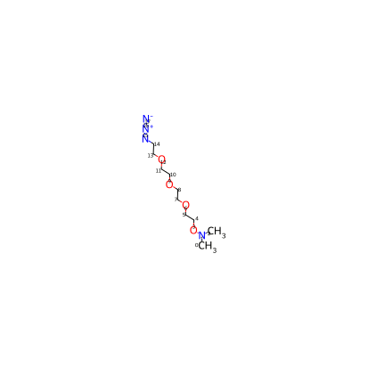 CN(C)OCCOCCOCCOCCN=[N+]=[N-]